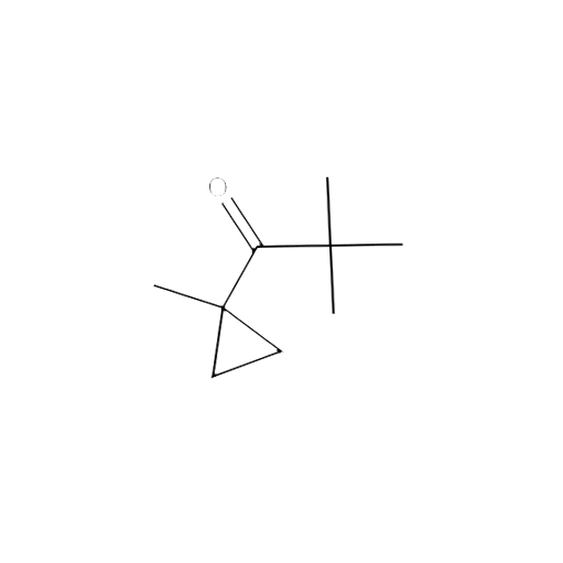 CC(C)(C)C(=O)C1(C)CC1